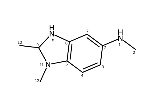 CNc1ccc2c(c1)NC(C)N2C